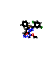 CCON(C)C(=O)N1N=C(c2cc(F)ccc2F)SC1(CCCN)c1ccccc1